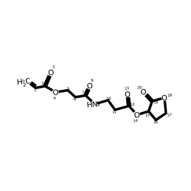 C=CC(=O)OCCC(=O)NCCC(=O)OC1CCOC1=O